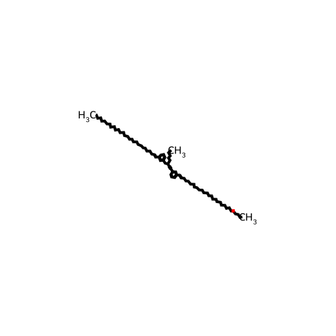 CCCCCCCCCCCCCCCCCCCCCCCCCCCC=Cc1cccc(C#CC(CCCCC)Cc2cccc(C=CCCCCCCCCCCCCCCCCCCCCCCCCCCC)c2)c1